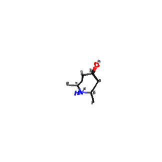 CC1CC(=O)CC(C)N1